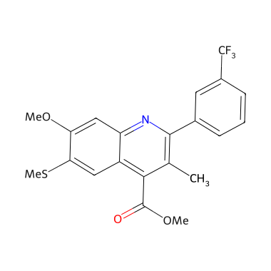 COC(=O)c1c(C)c(-c2cccc(C(F)(F)F)c2)nc2cc(OC)c(SC)cc12